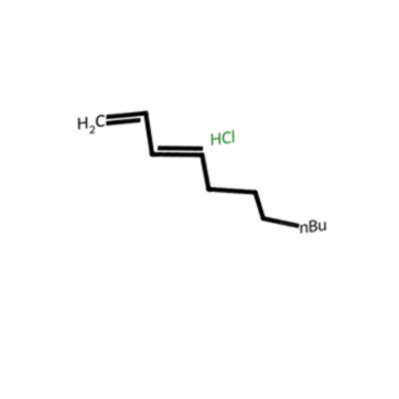 C=CC=CCCCCCCC.Cl